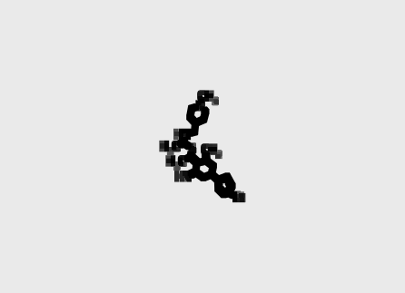 C=C(NCC1CCN(C)CC1)S/C(C)=C1\C(=C)CC(c2ccc(CC)cc2)CC1=N